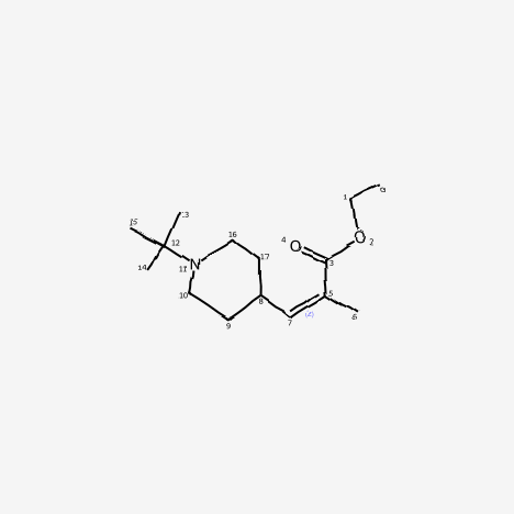 CCOC(=O)/C(C)=C\C1CCN(C(C)(C)C)CC1